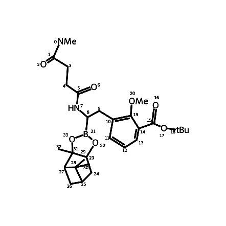 CNC(=O)CCC(=O)NC(Cc1cccc(C(=O)OC(C)(C)C)c1OC)B1OC2CC3CC(C3(C)C)C2(C)O1